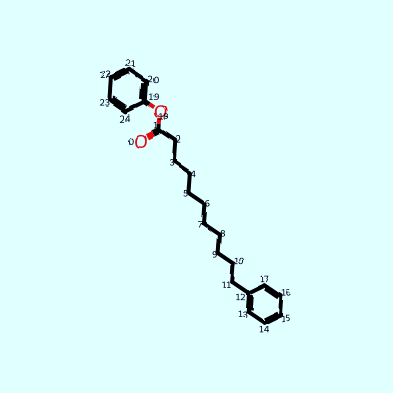 O=C(CCCCCCCCCCc1ccccc1)Oc1ccccc1